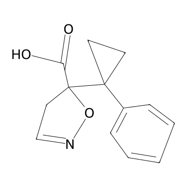 O=C(O)C1(C2(c3ccccc3)CC2)CC=NO1